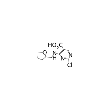 O=C(O)c1cnc(Cl)nc1NCC1CCCO1